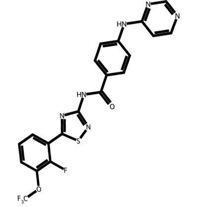 O=C(Nc1nsc(-c2cccc(OC(F)(F)F)c2F)n1)c1ccc(Nc2ccncn2)cc1